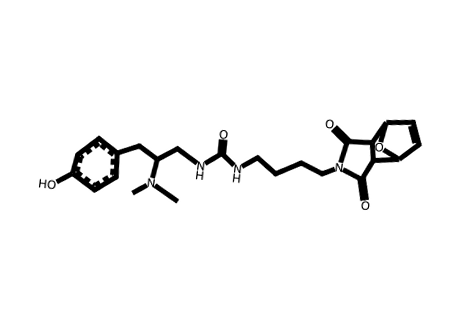 CN(C)C(CNC(=O)NCCCCN1C(=O)C2C3C=CC(O3)C2C1=O)Cc1ccc(O)cc1